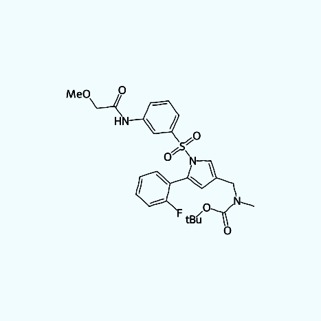 COCC(=O)Nc1cccc(S(=O)(=O)n2cc(CN(C)C(=O)OC(C)(C)C)cc2-c2ccccc2F)c1